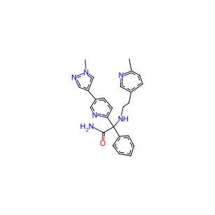 Cc1ccc(CCNC(C(N)=O)(c2ccccc2)c2ccc(-c3cnn(C)c3)cn2)cn1